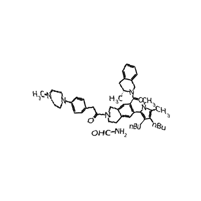 CCCCc1c(CCCC)c(-c2cc3c(cc2C(=O)N2Cc4ccccc4C[C@H]2C)CN(C(=O)Cc2ccc(N4CCN(C)CC4)cc2)CC3)n(C)c1C.NC=O